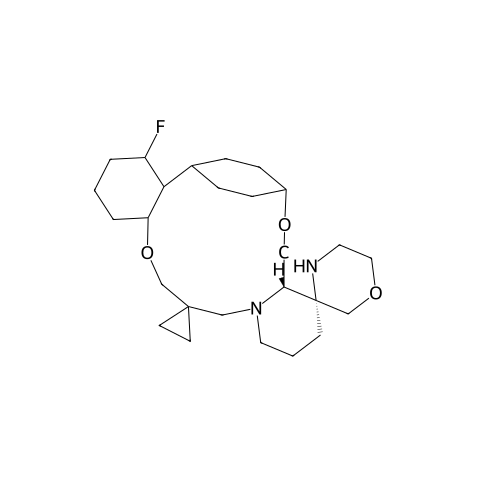 FC1CCCC2OCC3(CC3)CN3CCC[C@]4(COCCN4)[C@H]3COC3CCC(CC3)C12